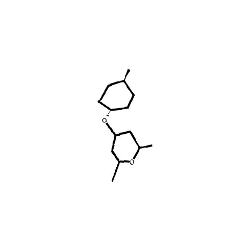 CC1CC(O[C@H]2CC[C@H](C)CC2)CC(C)O1